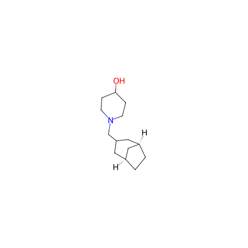 OC1CCN(CC2C[C@H]3CC[C@@H](C2)C3)CC1